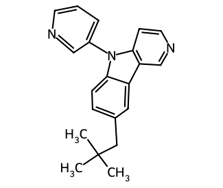 CC(C)(C)Cc1ccc2c(c1)c1cnccc1n2-c1cccnc1